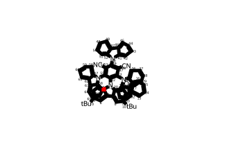 CC(C)(C)c1ccc2c(c1)c1cc(C(C)(C)C)c3c4ccccc4oc3c1n2-c1c(-n2c3ccccc3c3ccccc32)c(C#N)c(-n2c3ccccc3c3ccccc32)c(C#N)c1-n1c2ccccc2c2ccccc21